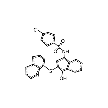 O=S(=O)(Nc1cc(Sc2cccc3cccnc23)c(O)c2ccccc12)c1ccc(Cl)cc1